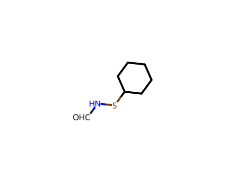 O=CNSC1CCCCC1